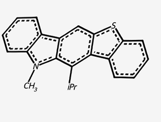 CC(C)c1c2c(cc3c4ccccc4n(C)c13)sc1ccccc12